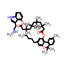 CCCCCc1cc(OC(=O)CC(C)(C)CC(C)(C)CC(C)(C)CC(C)(C)CC(=O)Oc2cccc3[nH]cc(CCNC)c23)c2c(c1)OC(C)(C)c1ccc(C)cc1-2